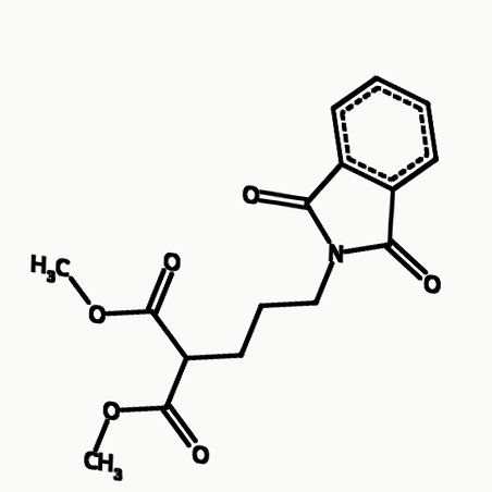 COC(=O)C(CCCN1C(=O)c2ccccc2C1=O)C(=O)OC